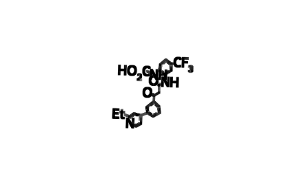 CCc1cc(-c2cccc(C(=O)CC(=O)Nc3cc(C(F)(F)F)ccc3NC(=O)O)c2)ccn1